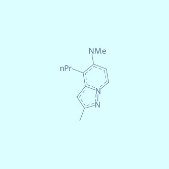 CCCc1c(NC)ccn2nc(C)cc12